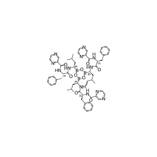 C=CC(C)C[C@H](NC(=O)[C@H](Cc1ccccc1)NC(=O)c1cnccn1)B1OB([C@H](CC(C)C)NC(=O)[C@H](Cc2ccccc2)NC(=O)c2cnccn2)OB([C@H](CC(C)C)NC(=O)[C@H](Cc2ccccc2)NC(=O)c2cnccn2)O1